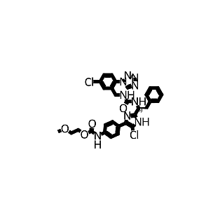 COCCOC(=O)Nc1ccc(-c2nc([C@H](Cc3ccccc3)NC(=O)NCc3cc(Cl)ccc3-n3cnnn3)[nH]c2Cl)cc1